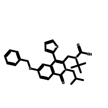 CC(C)Cn1c(CN(C(=O)O)C(C)(C)C)c(-c2cccs2)c2cc(OCc3ccccc3)ccc2c1=O